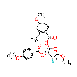 COc1ccc(C(=O)O[C@@H]2[C@@H](OC(=O)c3ccc(OC)cc3C)OC(OC)[C@H]2F)cc1